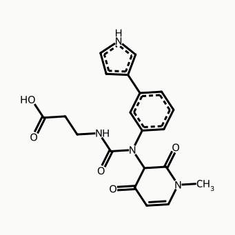 CN1C=CC(=O)C(N(C(=O)NCCC(=O)O)c2cccc(-c3cc[nH]c3)c2)C1=O